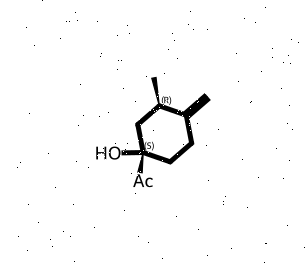 C=C1CC[C@@](O)(C(C)=O)C[C@H]1C